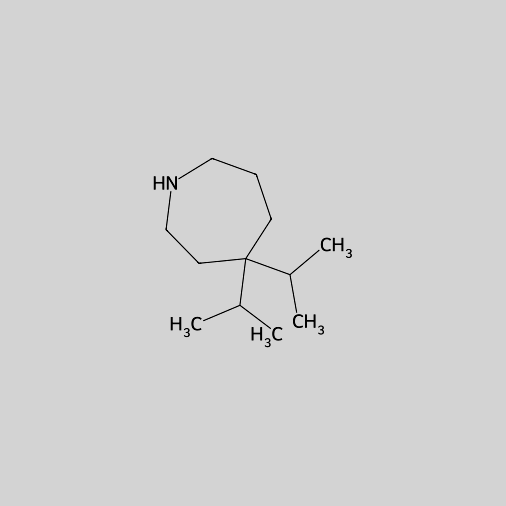 CC(C)C1(C(C)C)CCCNCC1